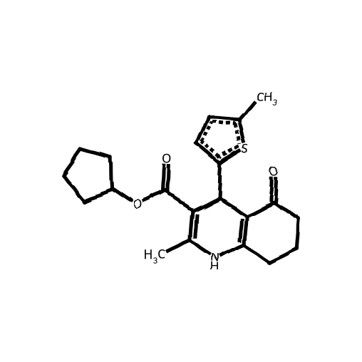 CC1=C(C(=O)OC2CCCC2)C(c2ccc(C)s2)C2=C(CCCC2=O)N1